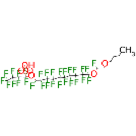 CCCCOCC(F)OC(F)(F)C(F)(F)C(F)(F)C(F)(F)C(F)(F)C(F)(F)C(F)(F)C(F)(F)C(F)(F)C(F)OC(F)(C(F)(F)C(F)(F)C(F)(F)F)S(=O)(=O)O